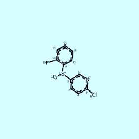 [O-][S+](c1ccc(Cl)nc1)c1ccccc1F